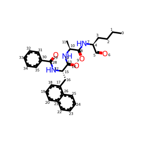 CCCC[C@@H](C=O)NC(=O)[C@H](C)NC(=O)[C@H](Cc1cccc2ccccc12)NC(=O)c1ccccc1